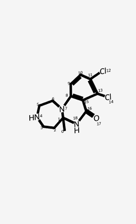 CC12CCNCCN1c1ccc(Cl)c(Cl)c1C(=O)N2